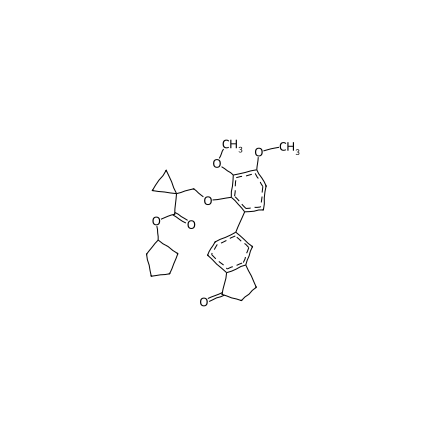 COc1ccc(-c2ccc3c(c2)CCC3=O)c(OCC2(C(=O)OC3CCCC3)CC2)c1OC